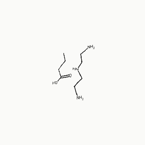 CCCC(=O)O.NCCNCCN